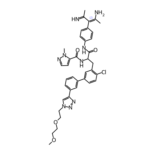 COCCOCCn1cc(-c2cccc(-c3ccc(Cl)c(CC(NC(=O)c4ccnn4C)C(=O)Nc4ccc(/C(C(C)=N)=C(\C)N)cc4)c3)c2)nn1